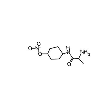 CC(N)C(=O)NC1CCC(O[N+](=O)[O-])CC1